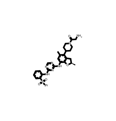 Cc1cc(Nc2ncnc(Nc3ccccc3S(=O)(=O)C(C)C)n2)c2c(c1C1CCN(C(=O)CN)CC1)C[C@@H](C)O2